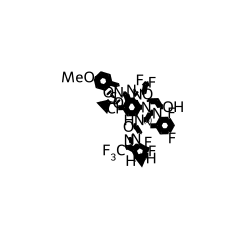 COc1ccc(CN(c2nn(CC(F)F)c3c(-n4c([C@H](Cc5cc(F)cc(F)c5)NC(=O)Cn5nc(C(F)(F)F)c6c5C(F)(F)[C@@H]5C[C@H]65)nc(O)cc4=O)ccc(Cl)c23)S(=O)(=O)C2CC2)cc1